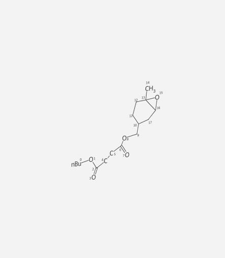 CCCCOC(=O)CCC(=O)OCC1CCC2(C)OC2C1